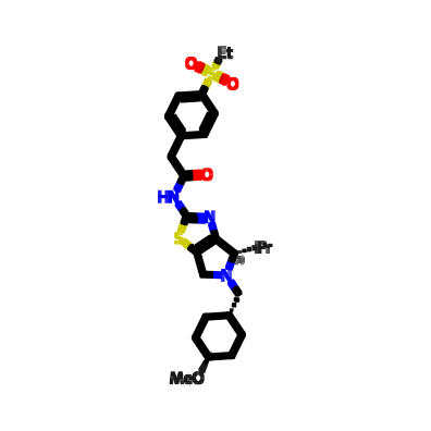 CCS(=O)(=O)c1ccc(CC(=O)Nc2nc3c(s2)CN(C[C@H]2CC[C@H](OC)CC2)[C@H]3C(C)C)cc1